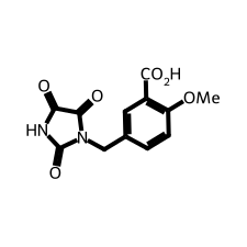 COc1ccc(CN2C(=O)NC(=O)C2=O)cc1C(=O)O